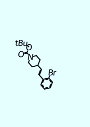 CC(C)(C)OC(=O)N1CCC(/C=C/c2ccccc2Br)CC1